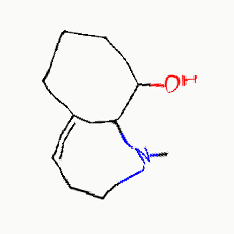 CN1CCC=C2CCCC(O)C21